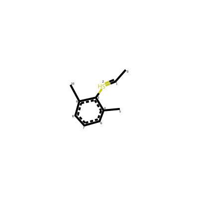 CC=[SH]c1c(C)cccc1C